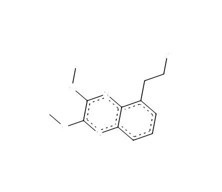 COc1nc2cccc(CCBr)c2nc1OC